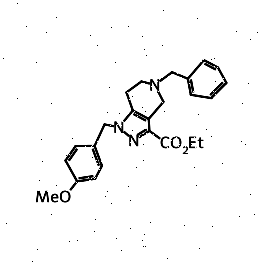 CCOC(=O)c1nn(Cc2ccc(OC)cc2)c2c1CN(Cc1ccccc1)CC2